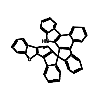 c1ccc2c(c1)-c1c(c3[nH]c4ccccc4c3c3ccccc13)C21c2ccccc2-c2c1ccc1c2oc2ccccc21